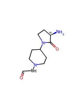 N[C@@H]1CCN(C2CCN(BC=O)CC2)C1=O